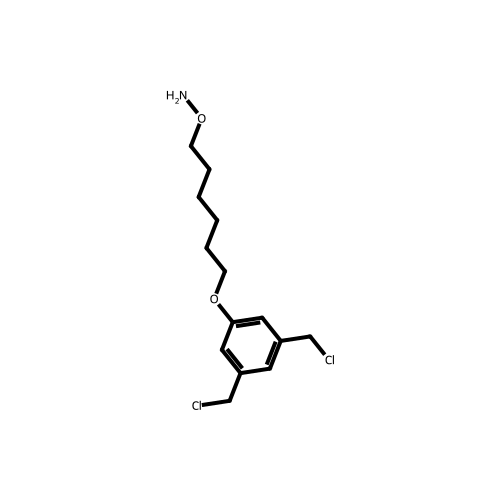 NOCCCCCCOc1cc(CCl)cc(CCl)c1